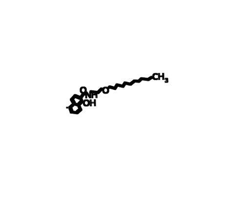 CCCCCCCCCCCCOCCCNC(=O)c1ccc2[c]cccc2c1O